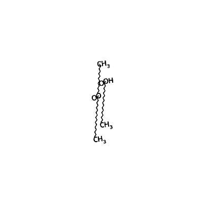 CCCCCCCCCCCCCCCCCC(=O)O.CCCCCCCCCCCCCCCCCC(=O)OCCCCCCCCCCCCC